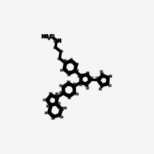 O=C(O)NCCCc1ccc(-n2cc(-c3nccs3)nc2-c2ccc(-n3ccc4cccnc43)cc2)cc1